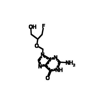 Nc1nc2c(ncn2COC(CO)CF)c(=O)[nH]1